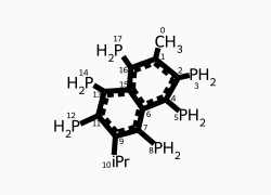 Cc1c(P)c(P)c2c(P)c(C(C)C)c(P)c(P)c2c1P